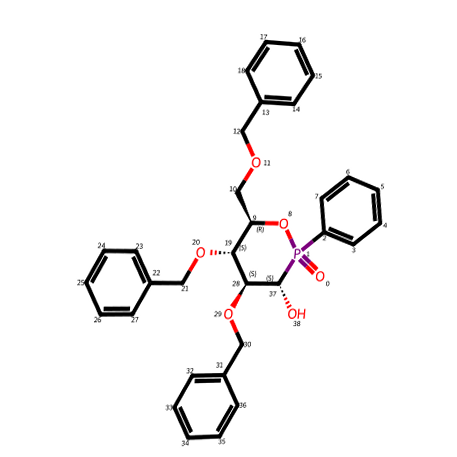 O=P1(c2ccccc2)O[C@H](COCc2ccccc2)[C@@H](OCc2ccccc2)[C@H](OCc2ccccc2)[C@H]1O